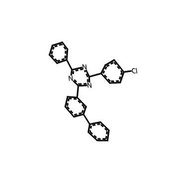 Clc1ccc(-c2nc(-c3ccccc3)nc(-c3cccc(-c4ccccc4)c3)n2)cc1